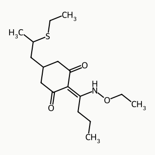 CCCC(NOCC)=C1C(=O)CC(CC(C)SCC)CC1=O